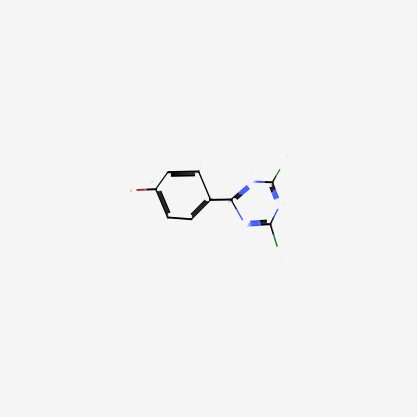 Clc1nc(Cl)nc(-c2ccc(Br)cc2)n1